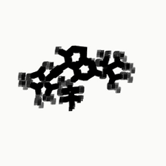 CC(C)[Si](C#Cc1c(F)ccc2cc(O[Si](C(C)C)(C(C)C)C(C)C)cc(OS(=O)(=O)C(F)(F)F)c12)(C(C)C)C(C)C